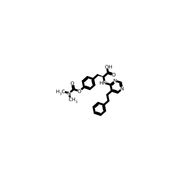 CN(C)C(=O)Oc1ccc(C[C@H](Nc2ncncc2CCc2ccccc2)C(=O)O)cc1